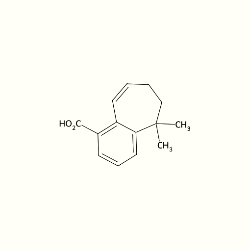 CC1(C)CCC=Cc2c(C(=O)O)cccc21